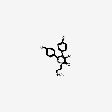 CC(=O)NCCn1nc(-c2ccc(Cl)cc2)c(-c2ccc(Cl)cc2)c(C(C)=O)c1=O